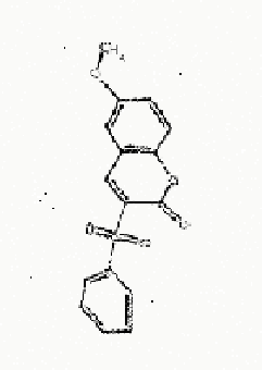 COc1ccc2oc(=O)c(S(=O)(=O)c3ccccc3)cc2c1